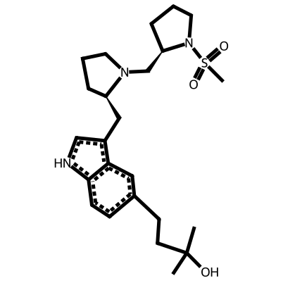 CC(C)(O)CCc1ccc2[nH]cc(C[C@H]3CCCN3C[C@H]3CCCN3S(C)(=O)=O)c2c1